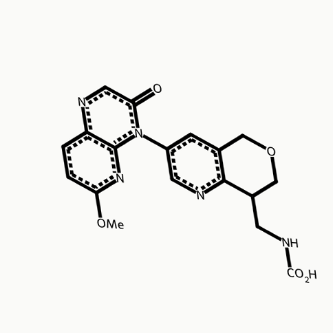 COc1ccc2ncc(=O)n(-c3cnc4c(c3)COCC4CNC(=O)O)c2n1